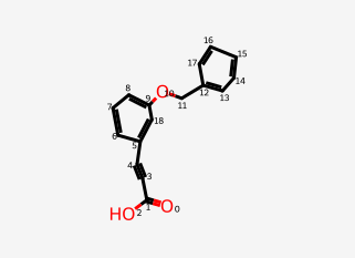 O=C(O)C#Cc1cccc(OCc2ccccc2)c1